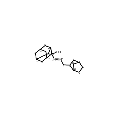 OC1(N=NCC2CC3CCC2C3)C2CC3CC(C2)CC1C3